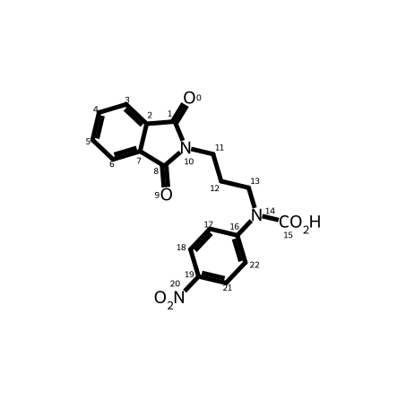 O=C1c2ccccc2C(=O)N1CCCN(C(=O)O)c1ccc([N+](=O)[O-])cc1